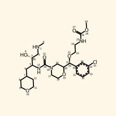 CNC[C@@H](O)C(CC1CCOCC1)NC(=O)N1CCOC([C@@H](OCCNC(=O)OC)c2cccc(Cl)c2)C1